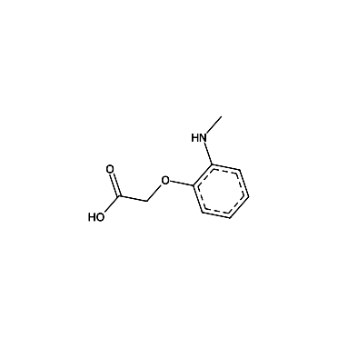 CNc1ccccc1OCC(=O)O